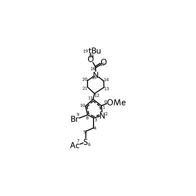 COc1nc(CCSC(C)=O)c(Br)cc1C1CCN(C(=O)OC(C)(C)C)CC1